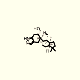 CC1(C)CC[C@@H]2[C@@H](CN)[C@@H]([C@@]3(C)Cc4cn[nH]c4C[C@@H]3CO)CC[C@@H]21